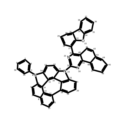 c1ccc(-n2c3ccc4cccc5c4c3c3c4c6c-5cccc6n(-c5nc(-c6cccc7c6oc6ccccc67)c6ccc7ccccc7c6n5)c4ccc32)cc1